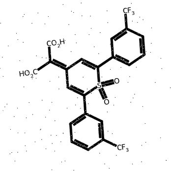 O=C(O)C(C(=O)O)=C1C=C(c2cccc(C(F)(F)F)c2)S(=O)(=O)C(c2cccc(C(F)(F)F)c2)=C1